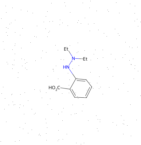 CCN(CC)Nc1ccccc1C(=O)O